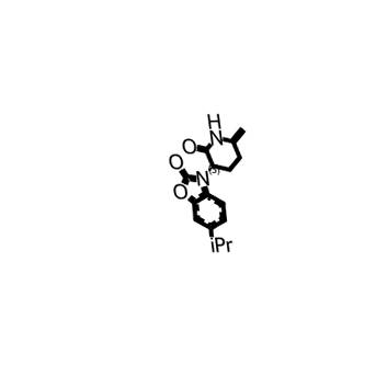 C=C1CC[C@H](n2c(=O)oc3cc(C(C)C)ccc32)C(=O)N1